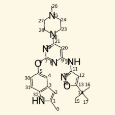 Cc1cc2cc(Oc3nc(Nc4cc(C(C)(C)C)on4)cc(N4CCN(C)CC4)n3)ccc2[nH]1